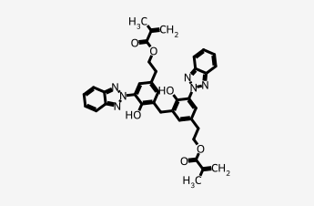 C=C(C)C(=O)OCCc1cc(Cc2cc(CCOC(=O)C(=C)C)cc(-n3nc4ccccc4n3)c2O)c(O)c(-n2nc3ccccc3n2)c1